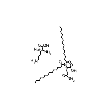 CCCCCCCCCCCCCC(=O)N(C(=O)CCCCCCCCCCCCC)[C@@H](CCC(N)=O)C(=O)O.NCCCCC(N)C(=O)O.[NaH]